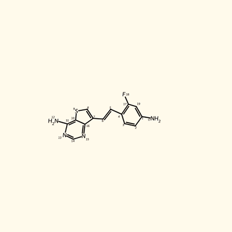 Nc1ccc(/C=C/c2csc3c(N)ncnc23)c(F)c1